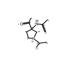 C=C(C)NC1(C(C)=O)CCN(C(C)C)C1